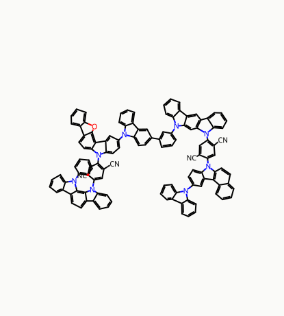 N#Cc1cc(-n2c3ccc(-n4c5ccccc5c5ccccc54)cc3c3c4ccccc4ccc32)c(C#N)cc1-n1c2ccccc2c2cc3c4ccccc4n(-c4cccc(-c5ccc6c(c5)c5ccccc5n6-c5ccc6c(c5)c5c7oc8ccccc8c7ccc5n6-c5cc(C#N)c(-n6c7ccccc7c7ccc8c9ccccc9n(-c9ccccc9)c8c76)cc5C#N)c4)c3cc21